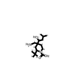 CC(C)CC(O)C1(CN)CCN(C(=O)O)C(C(C)(C)C)C1